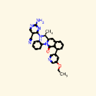 CCOc1cncc(-c2cccc3cc([C@H](C)Nc4nc(N)ncc4C#N)n(-c4ccccc4)c(=O)c23)c1